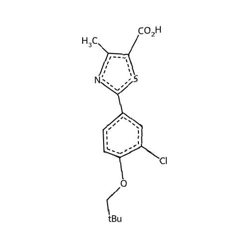 Cc1nc(-c2ccc(OCC(C)(C)C)c(Cl)c2)sc1C(=O)O